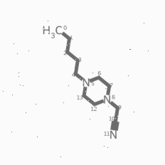 CCCCCN1CCN(CC#N)CC1